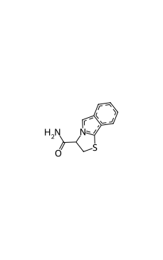 NC(=O)C1CSc2c3ccccc3cn21